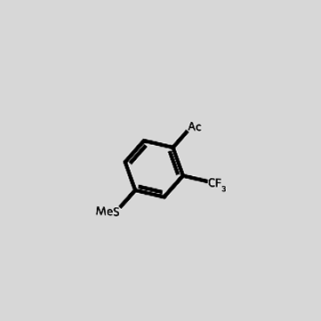 CSc1ccc(C(C)=O)c(C(F)(F)F)c1